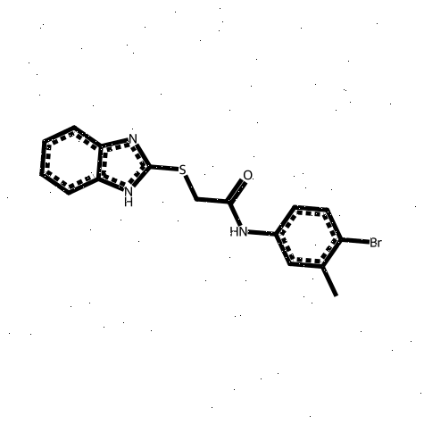 Cc1cc(NC(=O)CSc2nc3ccccc3[nH]2)ccc1Br